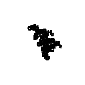 CC(=O)OCC(CNC(=O)c1c(Br)c(C(N)=O)c(Br)c(N(CC(O)CO)C(=O)CC(=O)N(CC(O)CO)c2c(Br)c(C(N)=O)c(Br)c(C(=O)NCC(COC(C)=O)OC(C)=O)c2Br)c1Br)OC(C)=O